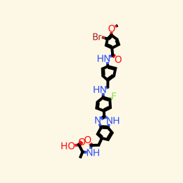 COc1ccc(C(=O)Nc2ccc(CNc3ccc(-c4nc5cc(CC(=O)NC(C)C(=O)O)ccc5[nH]4)cc3F)cc2)cc1Br